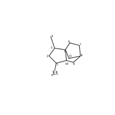 [CH2]CC1CC(C)C23CCC(CC12)C3